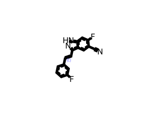 N#Cc1cc2c(/C=C/c3cccc(F)c3)n[nH]c2cc1F